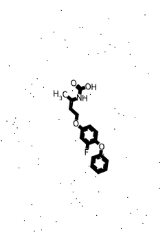 CC(CCOc1ccc(Oc2ccccc2)c(F)c1)NC(=O)O